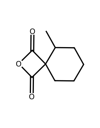 CC1CCCCC12C(=O)OC2=O